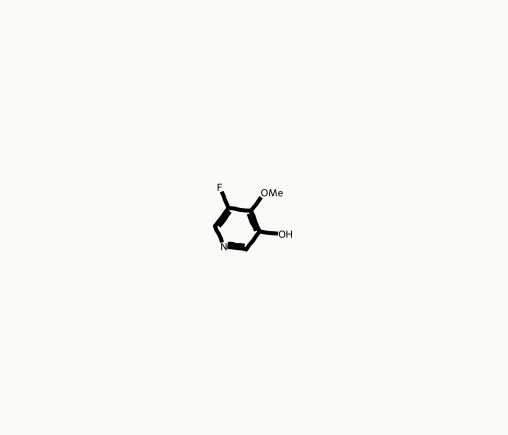 COc1c(O)cncc1F